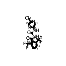 O=C(NC(=O)c1c(C(F)(F)F)cccc1C(F)(F)F)Nc1cnc(Cl)cn1